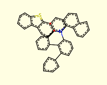 c1ccc(-c2ccccc2-c2c(-c3ccccc3)cccc2N(c2ccc3c(c2)sc2ccccc23)c2cccc3ccccc23)cc1